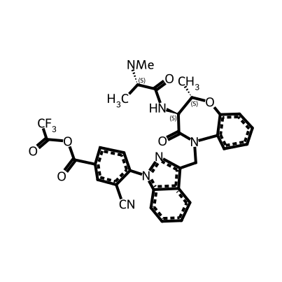 CN[C@@H](C)C(=O)N[C@@H]1C(=O)N(Cc2nn(-c3ccc(C(=O)OC(=O)C(F)(F)F)cc3C#N)c3ccccc23)c2ccccc2O[C@H]1C